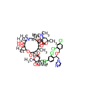 CC[C@H]1OC(=O)[C@H](C)[C@@H](O[C@H]2C[C@@](C)(OC)[C@@H](O)[C@H](C)O2)[C@H](C)[C@@H](O[C@@H]2O[C@H](C)C[C@H](N(C)C)[C@H]2O)[C@](C)(O)C[C@@H](C)CN(C)[C@H](C)[C@@H](O)[C@]1(C)O.Clc1ccc(COC(Cn2ccnc2)c2ccc(Cl)cc2Cl)c(Cl)c1